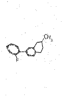 CC1CCc2ccc(-c3ccccc3F)cc2C1